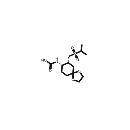 CC(C)S(=O)(=O)C[C@@H]1CC2(CC[C@@H]1NC(=O)O)OCCO2